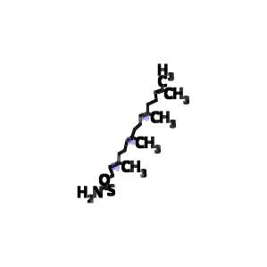 CC(C)=CCC/C(C)=C/CC/C(C)=C/CC/C(C)=C/COC(N)=S